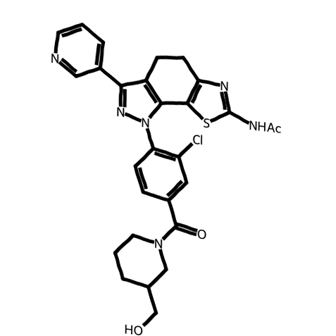 CC(=O)Nc1nc2c(s1)-c1c(c(-c3cccnc3)nn1-c1ccc(C(=O)N3CCCC(CO)C3)cc1Cl)CC2